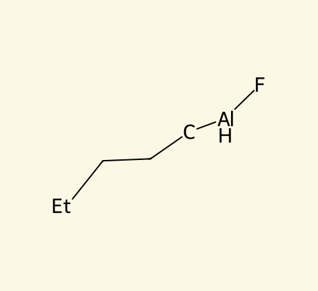 CCCC[CH2][AlH][F]